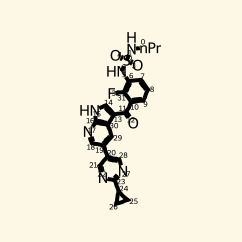 CCCNS(=O)(=O)Nc1cccc(C(=O)c2c[nH]c3ncc(-c4cnc(C5CC5)nc4)cc23)c1F